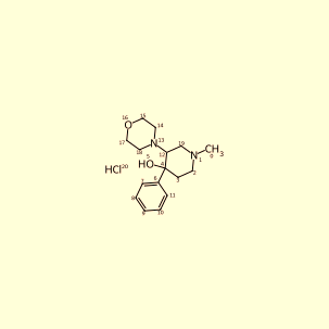 CN1CCC(O)(c2ccccc2)C(N2CCOCC2)C1.Cl